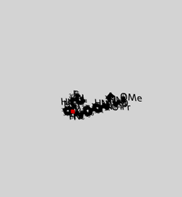 COC(=O)N[C@H](C(=O)N1CCC[C@H]1c1ncc(-c2ccc(-c3ccc(-c4cnc([C@@H]5[C@H]6CC[C@H](C6)[C@H]5C(=O)N[C@H](C)c5cccnc5F)[nH]4)cc3)cc2)[nH]1)C(C)C